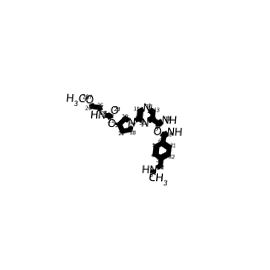 CNCc1ccc(C(=N)OC(=N)c2cncc(N3CC[C@@H](OC(=O)NCCOC)C3)n2)cc1